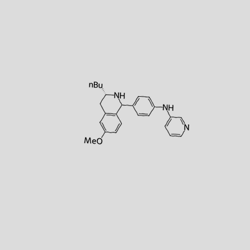 CCCC[C@H]1Cc2cc(OC)ccc2C(c2ccc(Nc3cccnc3)cc2)N1